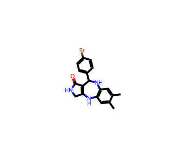 Cc1cc2c(cc1C)NC(c1ccc(Br)cc1)C1=C(CNC1=O)N2